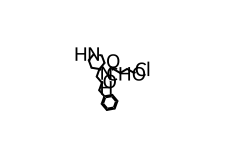 O=COC(Cc1ccccc1)CC1(NC(=O)CCCCl)CCNCC1